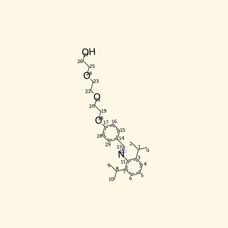 CC(C)c1cccc(C(C)C)c1/N=C/c1ccc(OCCOCCOCCO)cc1